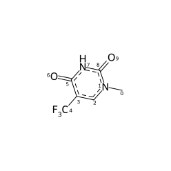 Cn1cc(C(F)(F)F)c(=O)[nH]c1=O